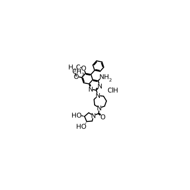 COc1cc2nc(N3CCCN(C(=O)N4C[C@H](O)[C@@H](O)C4)CC3)nc(N)c2c(-c2ccccc2)c1OC.Cl